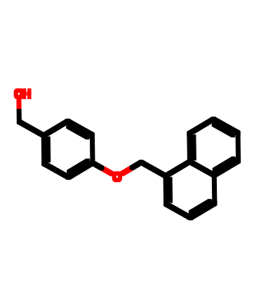 OCc1ccc(OCc2cccc3ccccc23)cc1